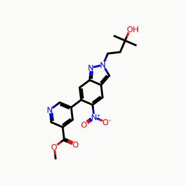 COC(=O)c1cncc(-c2cc3nn(CCC(C)(C)O)cc3cc2[N+](=O)[O-])c1